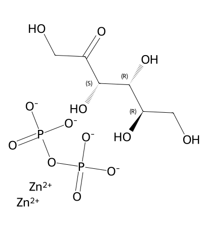 O=C(CO)[C@@H](O)[C@H](O)[C@H](O)CO.O=P([O-])([O-])OP(=O)([O-])[O-].[Zn+2].[Zn+2]